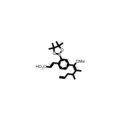 C=CCC(C)/C(C)=C(/OC)c1ccc(/C=C/C(=O)O)c(B2OC(C)(C)C(C)(C)O2)c1